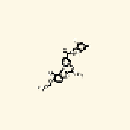 CCOc1ccc(F)c(CN2C(=O)C(C)Sc3cc(C(=O)NCc4c(F)cc(F)cc4F)ccc32)c1Cl